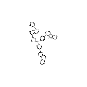 c1cc(-c2ccc3c4c(cccc24)-c2ccccc2-3)cc(N(c2ccc(-c3ccc4c(ccc5ccccc54)c3)cc2)c2ccc(-c3cccc4c3oc3ccccc34)cc2)c1